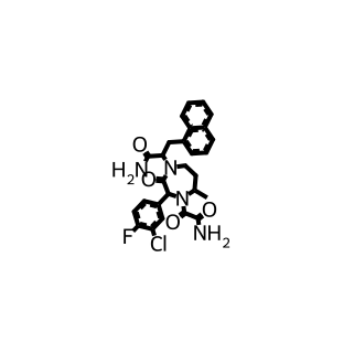 CC1CCN(C(Cc2cccc3ccccc23)C(N)=O)C(=O)C(c2ccc(F)c(Cl)c2)N1C(=O)C(N)=O